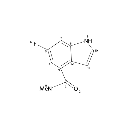 CNC(=O)c1cc(F)cc2[nH]ccc12